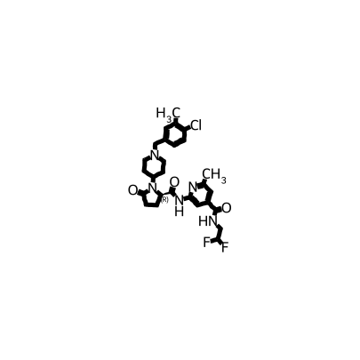 Cc1cc(C(=O)NCC(F)F)cc(NC(=O)[C@H]2CCC(=O)N2C2CCN(Cc3ccc(Cl)c(C)c3)CC2)n1